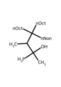 CCCCCCCCCC(CCCCCCCC)(CCCCCCCC)C(C)C(C)(O)P